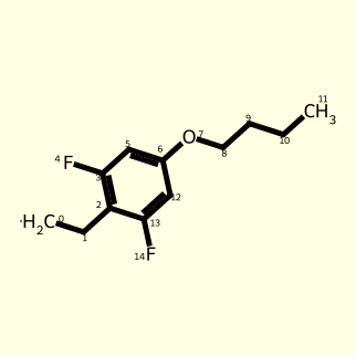 [CH2]Cc1c(F)cc(OCCCC)cc1F